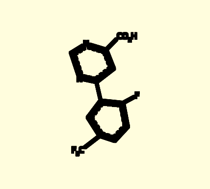 O=C(O)c1cc(-c2cc(C(F)(F)F)ccc2F)ncn1